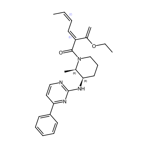 C=C(OCC)/C(=C\C=C/C)C(=O)N1CCC[C@@H](Nc2nccc(-c3ccccc3)n2)[C@H]1C